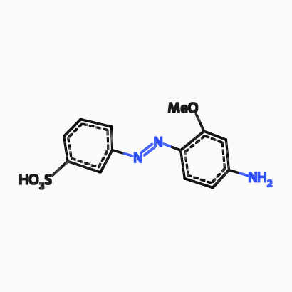 COc1cc(N)ccc1N=Nc1cccc(S(=O)(=O)O)c1